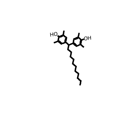 CCCCCCCCCCCC(c1cc(C)c(O)c(C)c1)c1cc(C)c(O)c(C)c1